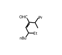 CCCCC(C=C(C=O)C(C)C(C)C)CC